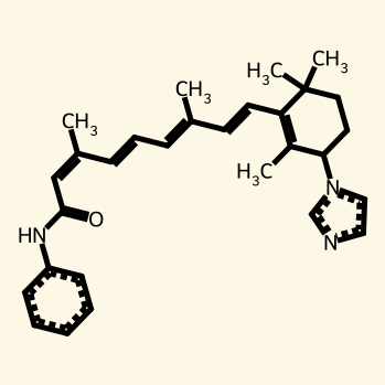 CC1=C(/C=C/C(C)=C/C=C/C(C)=C\C(=O)Nc2ccccc2)C(C)(C)CCC1n1ccnc1